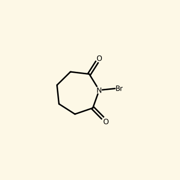 O=C1CCCCC(=O)N1Br